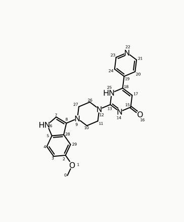 COc1ccc2[nH]cc(N3CCN(c4nc(=O)cc(-c5ccncc5)[nH]4)CC3)c2c1